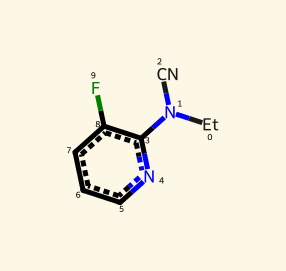 CCN(C#N)c1ncccc1F